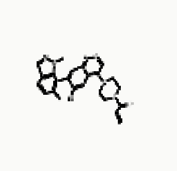 C=CC(=O)N1CCN(c2cnnc3cc(-c4c(C)ccc5cnn(C)c45)c(Cl)cc23)CC1